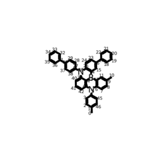 Cc1ccc(N2c3ccc(C)cc3B3c4cc(-c5ccccc5)ccc4N(c4ccc(-c5ccccc5)cc4)c4cccc2c43)cc1